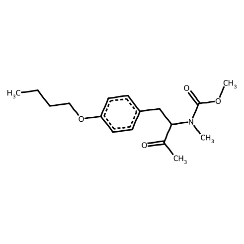 CCCCOc1ccc(CC(C(C)=O)N(C)C(=O)OC)cc1